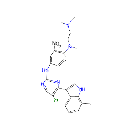 Cc1cccc2c(-c3nc(Nc4ccc(N(C)CCN(C)C)c([N+](=O)[O-])c4)ncc3Cl)c[nH]c12